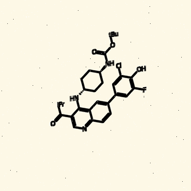 CC(C)C(=O)c1cnc2ccc(-c3cc(F)c(O)c(Cl)c3)cc2c1N[C@H]1CC[C@H](NC(=O)OC(C)(C)C)CC1